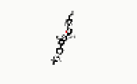 CCCc1cnc(N2CCC(O)(C3Cc4cc(C5=CCN(C(=O)OC(C)(C)C)CC5)cc(F)c4O3)CC2)nc1